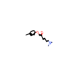 Cc1ccc(OCC(=O)CCCCN(C)C)cc1